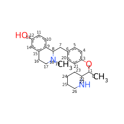 CC(Oc1ccc(CC2c3ccc(O)cc3CCN2C)cc1)C1CCCCN1